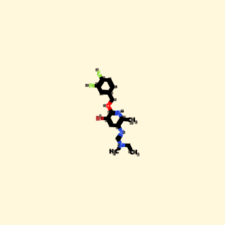 CCN(C)/C=N/c1cc(Br)c(OCc2ccc(F)c(F)c2)nc1C